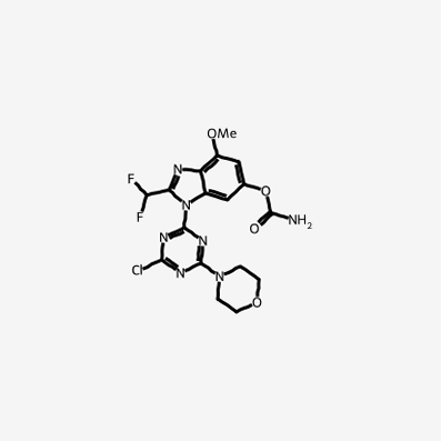 COc1cc(OC(N)=O)cc2c1nc(C(F)F)n2-c1nc(Cl)nc(N2CCOCC2)n1